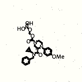 COc1ccc(N2CCN(C(=O)OCON(O)O)C[C@@H]2C(=O)N(Cc2ccccc2)C2CC2)cc1